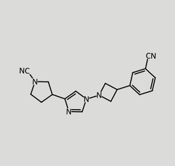 N#Cc1cccc(C2CN(n3cnc(C4CCN(C#N)C4)c3)C2)c1